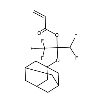 C=CC(=O)OC(OC12CC3CC(CC(C3)C1)C2)(C(F)F)C(F)(F)F